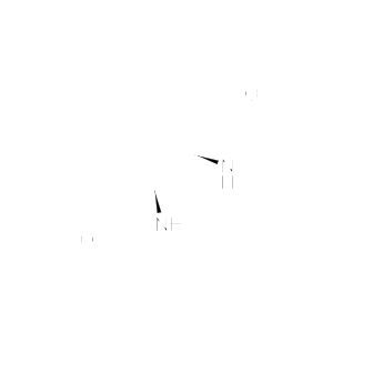 CC(=O)N[C@H]1CCCC[C@H]1NC(C)=O